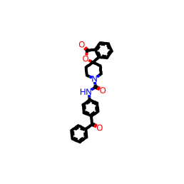 O=C(c1ccccc1)c1ccc(NC(=O)N2CCC3(CC2)OC(=O)c2ccccc23)cc1